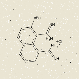 CCCCc1ccc2cccc(C(=N)N)c2c1C(=N)N.Cl